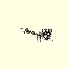 Nc1nc(NCCOCCOC(F)(F)F)nnc1-c1cccc(Cl)c1Cl